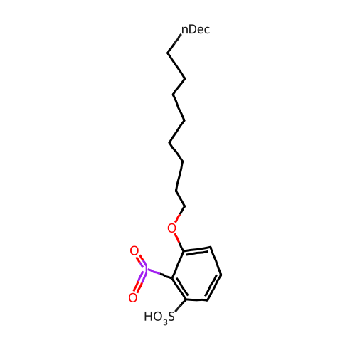 CCCCCCCCCCCCCCCCCCOc1cccc(S(=O)(=O)O)c1I(=O)=O